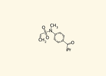 C=CS(=O)(=O)N(C)c1ccc(C(=O)C(C)C)cc1